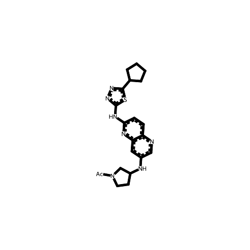 CC(=O)N1CCC(Nc2cnc3ccc(Nc4nnc(C5CCCC5)s4)nc3c2)C1